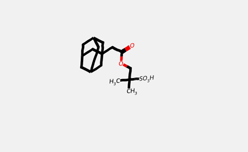 CC(C)(COC(=O)CC12CC3CC(CC(C3)C1)C2)S(=O)(=O)O